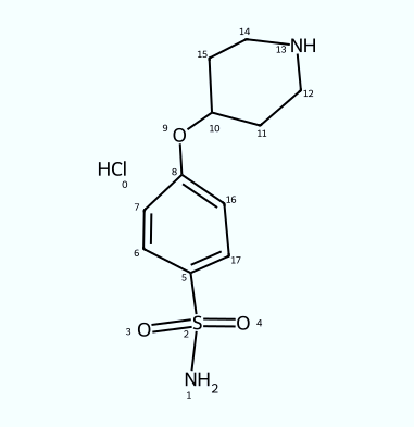 Cl.NS(=O)(=O)c1ccc(OC2CCNCC2)cc1